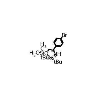 CC(C)(C)[S@+]([O-])N[C@@H](CO[Si](C)(C)C(C)(C)C)c1ccc(Br)cc1